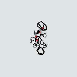 COC(=O)/C=C/C12CC3CC(C1)C(NC(=O)C(C)(C)NS(=O)(=O)c1ccccc1Br)C(C3)C2